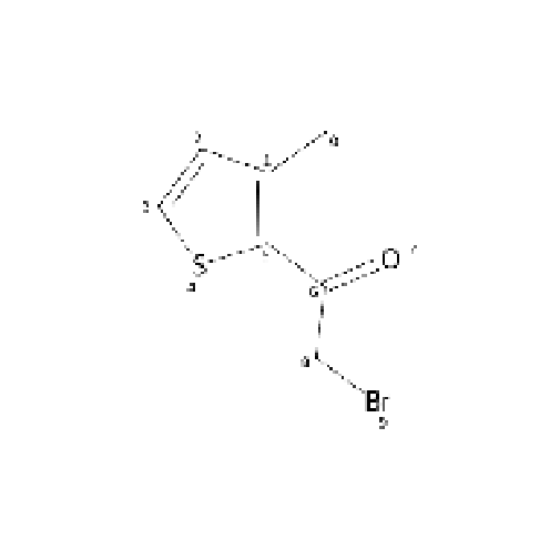 Cc1ccsc1C(=O)CBr